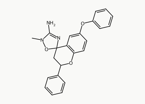 CN1OC2(CC(c3ccccc3)Oc3ccc(Oc4ccccc4)cc32)N=C1N